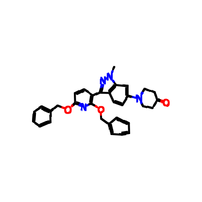 Cn1nc(-c2ccc(OCc3ccccc3)nc2OCc2ccccc2)c2ccc(N3CCC(=O)CC3)cc21